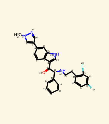 Cn1cc(-c2ccc3c(C(=O)[C@@H](NCCc4ccc(F)cc4F)c4ccccc4)c[nH]c3c2)cn1